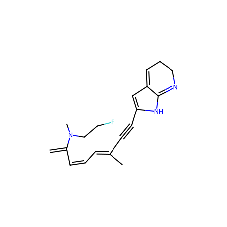 C=C(/C=C\C=C(/C)C#Cc1cc2c([nH]1)=NCCC=2)N(C)CCF